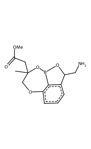 COC(=O)CC1(C)COc2cccc3c2B(OC3CN)O1